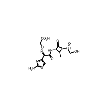 C[C@H]1[C@H](NC(=O)/C(=N\OCC(=O)O)c2csc(N)n2)C(=O)N1[PH](=O)CO